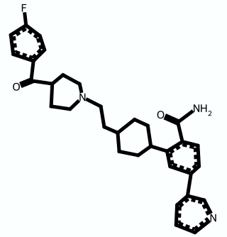 NC(=O)c1ccc(-c2cccnc2)cc1C1CCC(CCN2CCC(C(=O)c3ccc(F)cc3)CC2)CC1